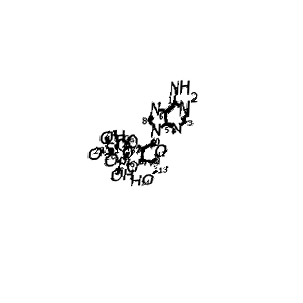 Nc1ncnc2c1ncn2[C@@H]1O[C@H](CO)[C@@H](OP(=O)(O)OS(=O)(=O)O)[C@H]1O